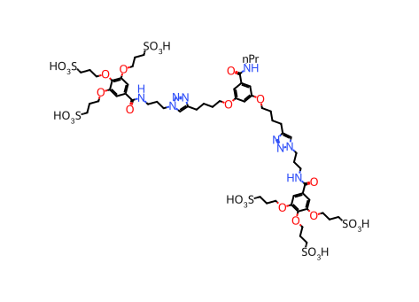 CCCNC(=O)c1cc(OCCCCc2cn(CCCNC(=O)c3cc(OCCCS(=O)(=O)O)c(OCCCS(=O)(=O)O)c(OCCCS(=O)(=O)O)c3)nn2)cc(OCCCCc2cn(CCCNC(=O)c3cc(OCCCS(=O)(=O)O)c(OCCCS(=O)(=O)O)c(OCCCS(=O)(=O)O)c3)nn2)c1